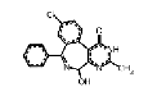 Cc1nc2c(c(=O)[nH]1)-c1ccc(Cl)cc1C(c1ccccc1)=NC2O